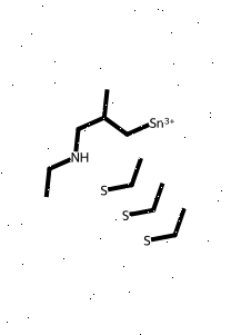 CCNCC(C)[CH2][Sn+3].CC[S-].CC[S-].CC[S-]